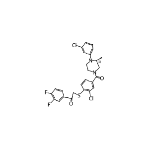 C[C@H]1CN(C(=O)c2ccc(SCC(=O)c3ccc(F)c(F)c3)c(Cl)c2)CCN1c1cccc(Cl)c1